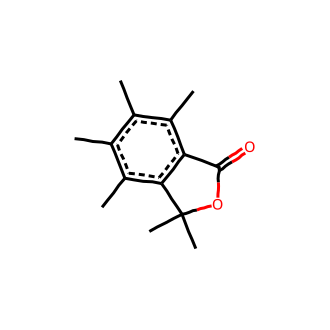 Cc1c(C)c(C)c2c(c1C)C(=O)OC2(C)C